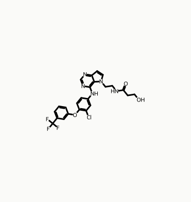 O=C(CCO)NCCn1ccc2ncnc(Nc3ccc(Oc4cccc(C(F)(F)F)c4)c(Cl)c3)c21